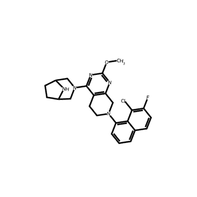 COc1nc2c(c(N3CC4CCC(C3)N4)n1)CCN(c1cccc3ccc(F)c(Cl)c13)C2